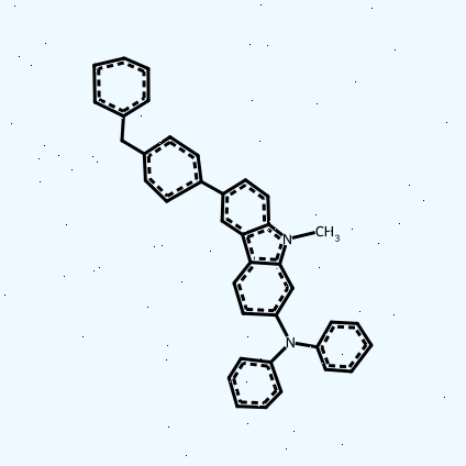 Cn1c2ccc(-c3ccc(Cc4ccccc4)cc3)cc2c2ccc(N(c3ccccc3)c3ccccc3)cc21